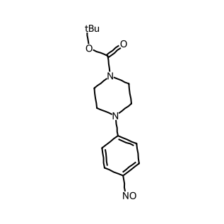 CC(C)(C)OC(=O)N1CCN(c2ccc(N=O)cc2)CC1